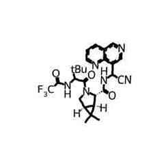 CC(C)(C)C(NC(=O)C(F)(F)F)C(=O)N1C[C@H]2[C@@H]([C@H]1C(=O)NC(C#N)c1cncc3cccnc13)C2(C)C